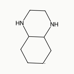 [CH]1CCC2NCCNC2C1